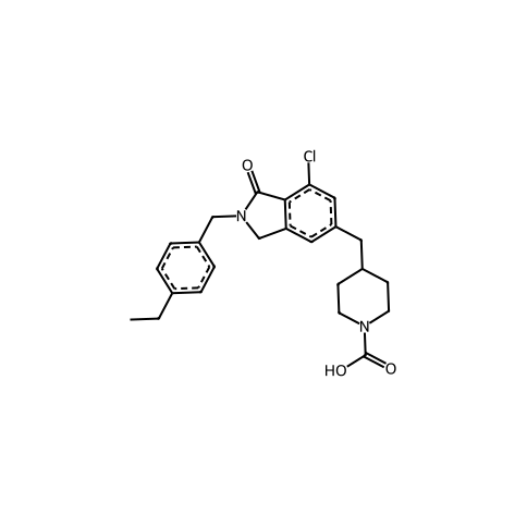 CCc1ccc(CN2Cc3cc(CC4CCN(C(=O)O)CC4)cc(Cl)c3C2=O)cc1